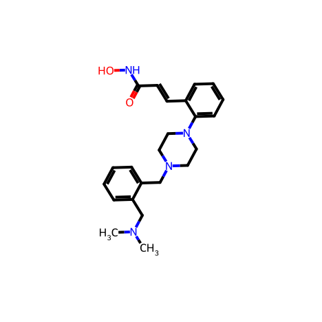 CN(C)Cc1ccccc1CN1CCN(c2ccccc2/C=C/C(=O)NO)CC1